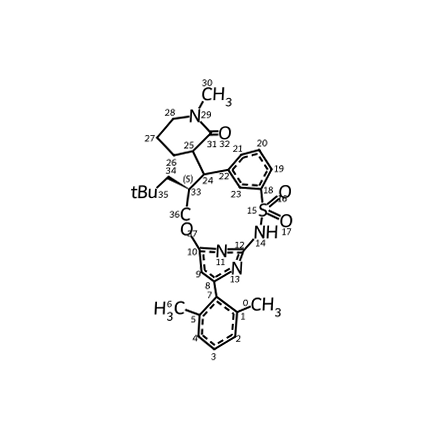 Cc1cccc(C)c1-c1cc2nc(n1)NS(=O)(=O)c1cccc(c1)C(C1CCCN(C)C1=O)[C@H](CC(C)(C)C)CO2